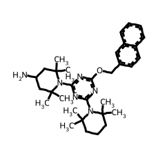 CC1(C)CCCC(C)(C)N1c1nc(OCc2ccc3ccccc3c2)nc(N2C(C)(C)CC(N)CC2(C)C)n1